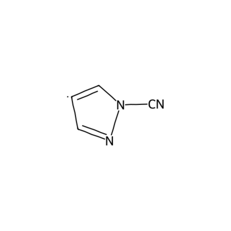 N#Cn1c[c]cn1